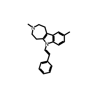 Cc1ccc2c(c1)c1c(n2/C=C/c2ccccc2)CCN(C)CC1